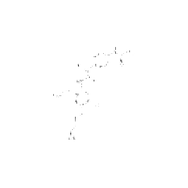 CCCCOc1cc(OC)c(NC(=O)N(S)c2ccc(NC(C)=O)cc2)cc1Cl